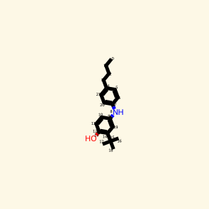 CCCCc1ccc(Nc2ccc(O)c(C(C)(C)C)c2)cc1